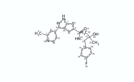 Cc1cc(-c2n[nH]c3sc(C(=O)N[C@@H](c4ccc(F)cc4)C(C)(C)O)cc23)ccn1